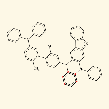 Cc1ccc(N(c2ccccc2)c2ccccc2)cc1-c1ccc(N(c2ccccc2)c2cc3c(cc2N(c2ccccc2)c2ccccc2)sc2ccccc23)cc1S